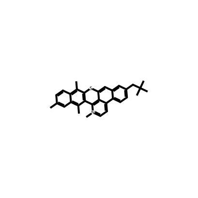 Cc1ccc2c(C)c3c(c(C)c2c1)-c1c2c(cc4cc(CC(C)(C)C)ccc4c2cc[n+]1C)S3